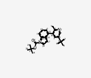 Cc1ncc(C(C)(C)C)cc1-c1cccc2c1ccn2C(=O)OC(C)(C)C